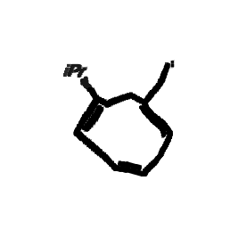 [CH]c1ccccc1C(C)C